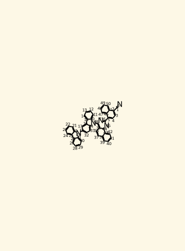 N#Cc1ccc(-c2nc(-n3c4ccccc4c4cc(-n5c6ccccc6c6ccccc65)ccc43)c3ccc4ccccc4c3n2)c2ccccc12